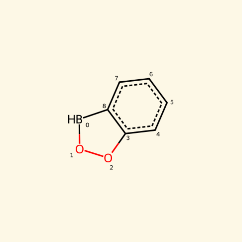 B1OOc2ccccc21